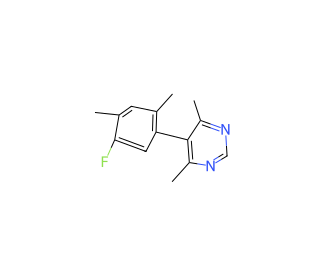 Cc1cc(C)c(-c2c(C)ncnc2C)cc1F